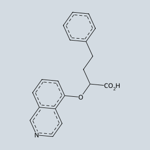 O=C(O)C(CCc1ccccc1)Oc1cccc2cnccc12